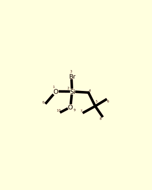 CO[Si](Br)(CC(C)(C)C)OC